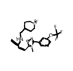 C=C(/C=C\c1nnc(-c2cccc(OC(F)(F)F)c2)n1C)NCC1CC[S+]([O-])CC1